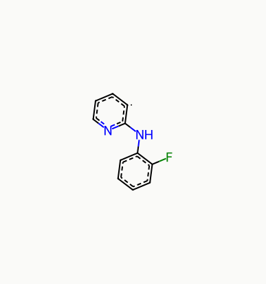 Fc1ccccc1Nc1[c]cccn1